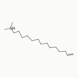 C=CCCCCCCCCCCCC[SiH](C)C